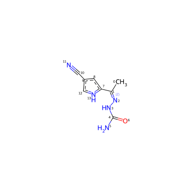 C/C(=N/NC(N)=O)c1cc(C#N)c[nH]1